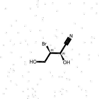 N#C[C@@H](O)[C@H](Br)CO